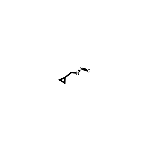 O=S=NCC1CC1